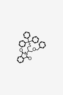 O=C1c2ccccc2C(=O)N1C(COCc1ccccc1)CSC(c1ccccc1)(c1ccccc1)c1ccccc1